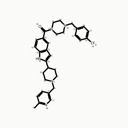 Cc1ccc(CN2CCC(c3cc4cc(C(=O)N5CCN(Cc6ccc(C(F)(F)F)cc6)CC5)ccc4[nH]3)CC2)cn1